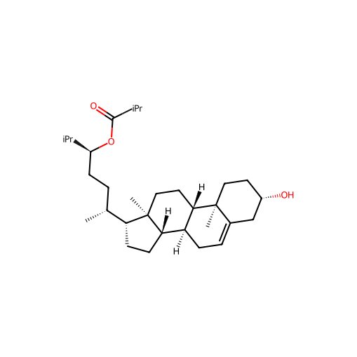 CC(C)C(=O)O[C@@H](CC[C@@H](C)[C@H]1CC[C@H]2[C@@H]3CC=C4C[C@@H](O)CC[C@]4(C)[C@H]3CC[C@]12C)C(C)C